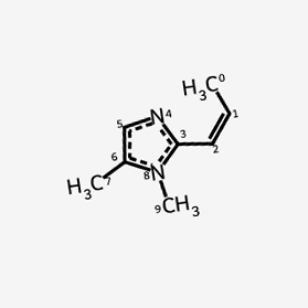 C/C=C\c1ncc(C)n1C